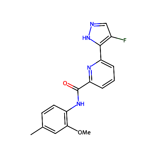 COc1cc(C)ccc1NC(=O)c1cccc(-c2[nH]ncc2F)n1